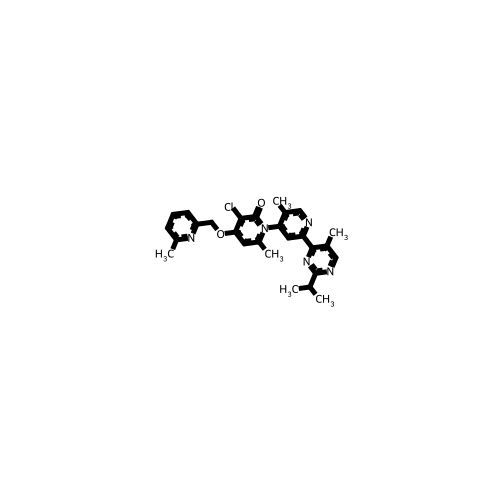 Cc1cccc(COc2cc(C)n(-c3cc(-c4nc(C(C)C)ncc4C)ncc3C)c(=O)c2Cl)n1